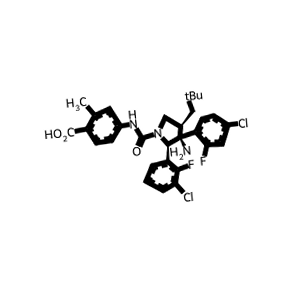 Cc1cc(NC(=O)N2C[C@@H](CC(C)(C)C)[C@](N)(c3ccc(Cl)cc3F)[C@H]2c2cccc(Cl)c2F)ccc1C(=O)O